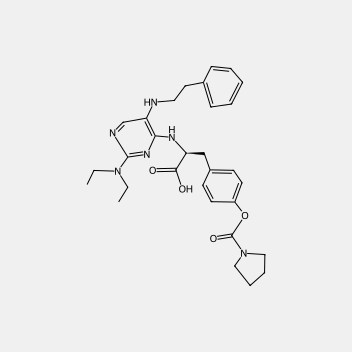 CCN(CC)c1ncc(NCCc2ccccc2)c(N[C@@H](Cc2ccc(OC(=O)N3CCCC3)cc2)C(=O)O)n1